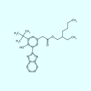 CCCCC(CC)COC(=O)Cc1cc(-n2nc3ccccc3n2)c(O)c(C(C)(C)C)c1